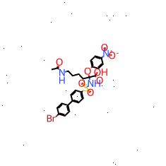 CC(=O)NCCCCC(NS(=O)(=O)c1ccc(-c2ccc(Br)cc2)cc1)(Oc1ccc([N+](=O)[O-])cc1)C(=O)O